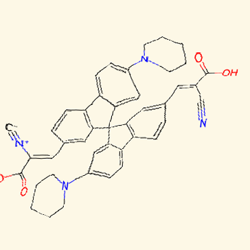 [C-]#[N+]/C(=C\c1ccc2c(c1)C1(c3cc(/C=C(\C#N)C(=O)O)ccc3-c3ccc(N4CCCCC4)cc31)c1cc(N3CCCCC3)ccc1-2)C(=O)O